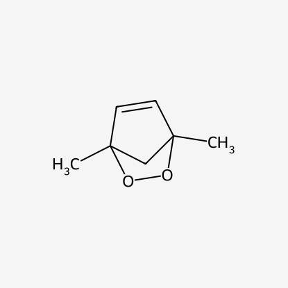 CC12C=CC(C)(C1)OO2